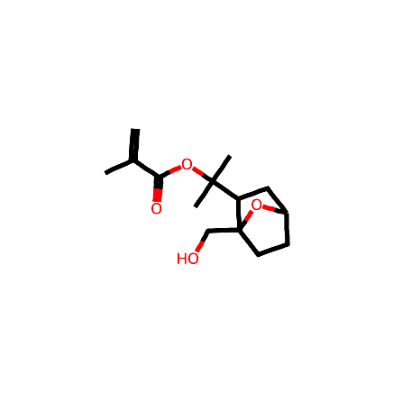 C=C(C)C(=O)OC(C)(C)C1CC2CCC1(CO)O2